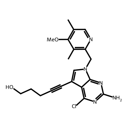 COc1c(C)cnc(Cn2cc(C#CCCCO)c3c(Cl)nc(N)nc32)c1C